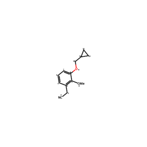 COc1c(CC#N)cccc1OCC1CC1